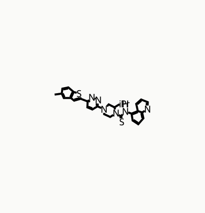 Cc1ccc2sc(-c3ccc(N4CCN(C(=S)Nc5cccc6ncccc56)C(C(C)C)C4)nn3)cc2c1